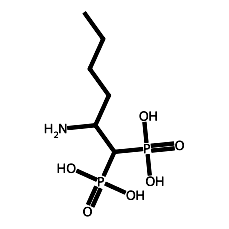 CCCCC(N)C(P(=O)(O)O)P(=O)(O)O